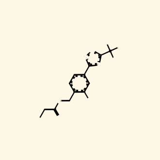 CCC(=O)NCc1ccc(-c2noc(C(F)(F)F)n2)cc1Cl